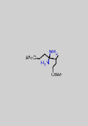 COCCC(C)C(N)(N)CCOC